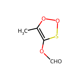 CC1=C(OC=O)SOO1